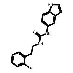 O=C(NCCc1ccccc1Br)Nc1ccc2[nH]ccc2c1